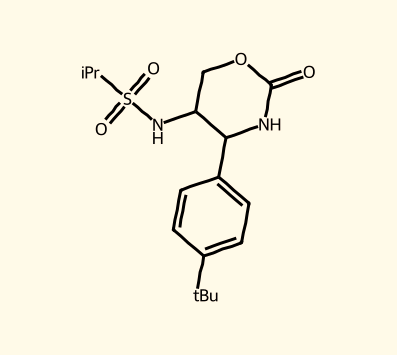 CC(C)S(=O)(=O)NC1COC(=O)NC1c1ccc(C(C)(C)C)cc1